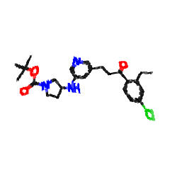 CCc1cc(Cl)ccc1C(=O)CCc1cncc(NC2CCN(C(=O)OC(C)(C)C)C2)c1